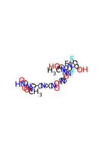 CCc1c(F)ccc2cc(O)cc(-c3ncc4c(N5CCC[C@@](C)(O)C5)nc(OC[C@@]56CCCN5[C@H](COC(=O)N5CCC7(CC5)CC(N5CCC(c8ccc9c(c8)n(C)c(=O)n9C8CCC(=O)NC8=O)CC5)C7)CC6)nc4c3F)c12